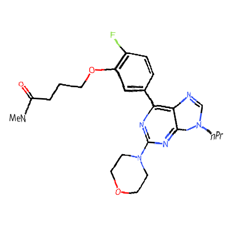 CCCn1cnc2c(-c3ccc(F)c(OCCCC(=O)NC)c3)nc(N3CCOCC3)nc21